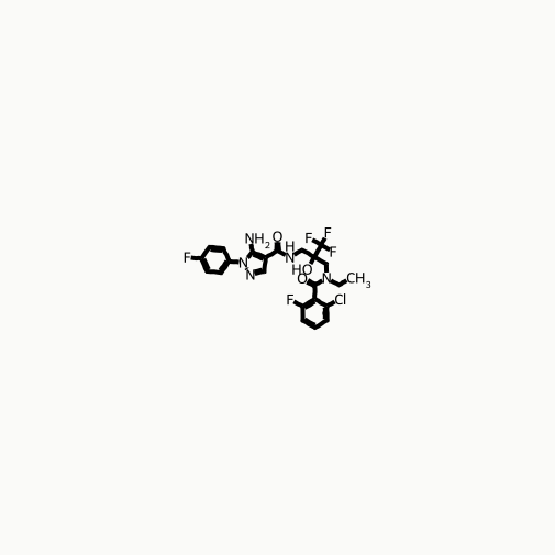 CCN(CC(O)(CNC(=O)c1cnn(-c2ccc(F)cc2)c1N)C(F)(F)F)C(=O)c1c(F)cccc1Cl